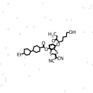 C=CC(=O)C(CCCCO)Oc1ccc(OC(=O)C2CCC(C3CCC(CC)CC3)CC2)c2c1SC(=C(C#N)C#N)S2